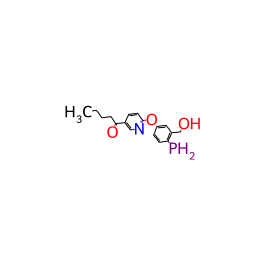 CCCCC(=O)c1ccc(Oc2ccc(P)c(CO)c2)nc1